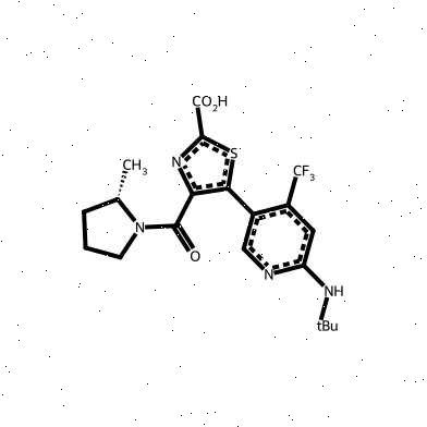 C[C@H]1CCCN1C(=O)c1nc(C(=O)O)sc1-c1cnc(NC(C)(C)C)cc1C(F)(F)F